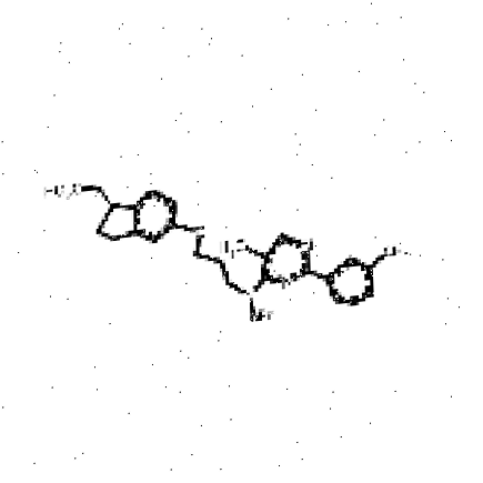 CCCN(CCCOc1ccc2c(c1)CC[C@H]2CC(=O)O)c1nc(-c2cccc(C)c2)ncc1C